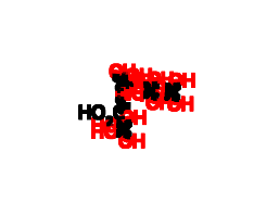 CC(=COCC(CO)(CO)CO)C(=O)O.OCC(CO)(CO)CO.OCC(CO)(CO)CO.OCC(CO)(CO)CO